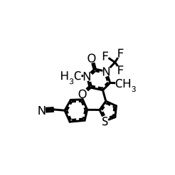 Cc1c(-c2ccsc2-c2ccc(C#N)cc2)c(=O)n(C)c(=O)n1C(F)(F)F